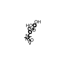 CCOC(=O)c1nc(C)nc(-c2ccc3c(c2)CCCN3C(=O)c2ccc(O)cc2O)c1C